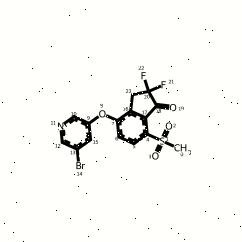 CS(=O)(=O)c1ccc(Oc2cncc(Br)c2)c2c1C(=O)C(F)(F)C2